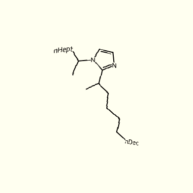 CCCCCCCCCCCCCCC(C)c1nccn1C(C)CCCCCCC